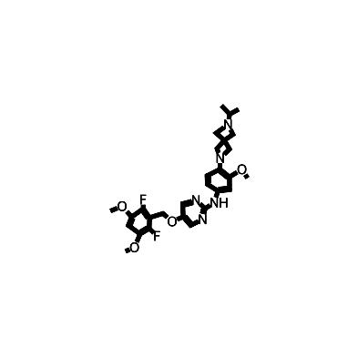 COc1cc(Nc2ncc(OCc3c(F)c(OC)cc(OC)c3F)cn2)ccc1N1CC2(C1)CN(C(C)C)C2